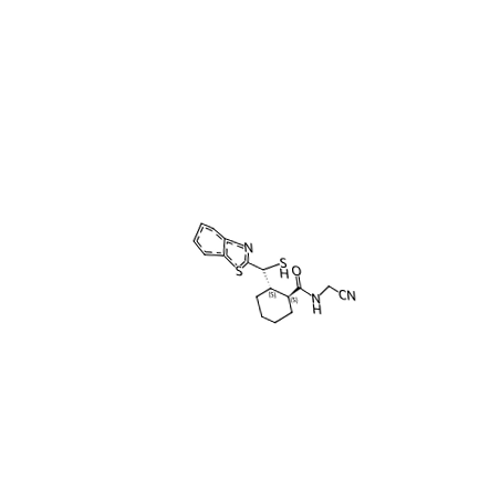 N#CCNC(=O)[C@H]1CCCC[C@@H]1C(S)c1nc2ccccc2s1